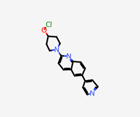 ClOC1CCN(c2ccc3cc(-c4ccncc4)ccc3n2)CC1